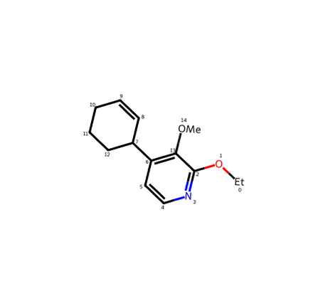 CCOc1nccc(C2C=CCCC2)c1OC